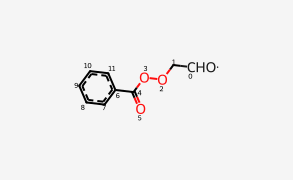 O=[C]COOC(=O)c1ccccc1